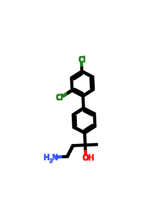 CC(O)(CCN)c1ccc(-c2ccc(Cl)cc2Cl)cc1